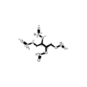 O=[PH2]OCC(O[PH2]=O)C(CO[PH2]=O)O[PH2]=O